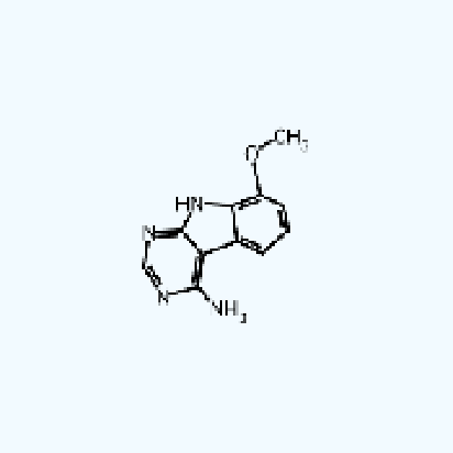 COc1cccc2c1[nH]c1ncnc(N)c12